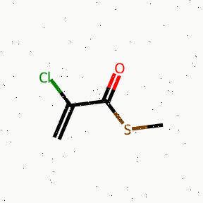 C=C(Cl)C(=O)SC